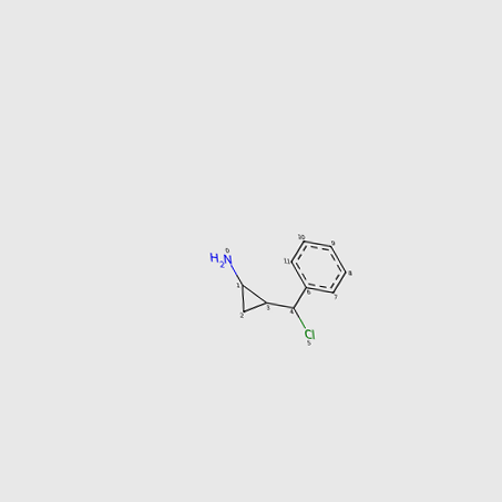 NC1CC1C(Cl)c1ccccc1